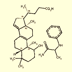 CC(Nc1ccccc1)C(N)=O.C[C@H](CCC(=O)O)[C@H]1CC=C2C3=C(CC[C@@]21C)[C@@]1(C)C(O)CCC(C)(C)[C@@H]1CC3